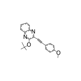 COc1ccc(C#Cc2nc3ccccc3nc2OC(C)(C)C)cc1